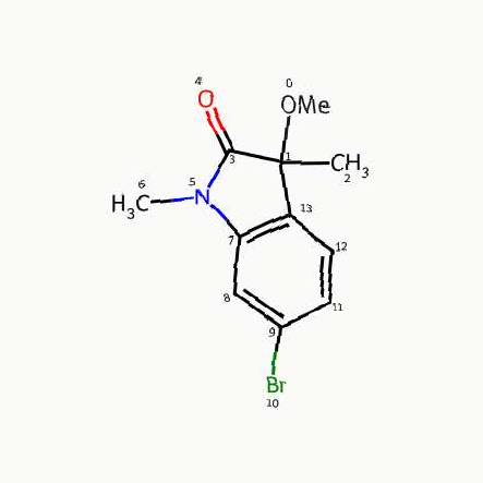 COC1(C)C(=O)N(C)c2cc(Br)ccc21